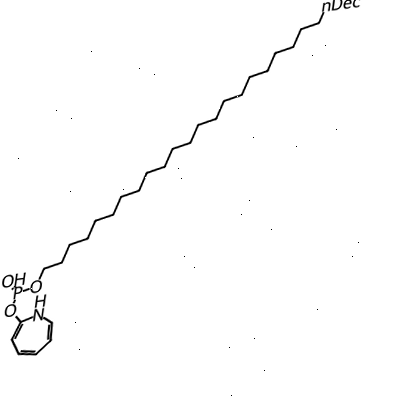 CCCCCCCCCCCCCCCCCCCCCCCCCCCCCCCCO[PH](=O)OC1=CC=CC=CN1